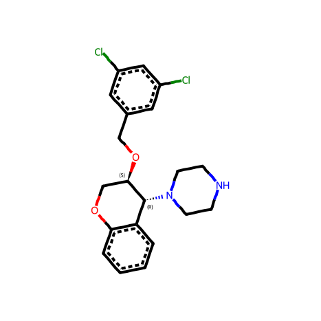 Clc1cc(Cl)cc(CO[C@@H]2COc3ccccc3[C@H]2N2CCNCC2)c1